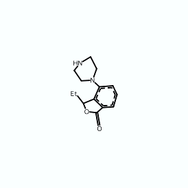 CCC1OC(=O)c2cccc(N3CCNCC3)c21